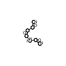 c1cnc2oc3ccc(-c4ccc5oc6ccc(-c7nccc(-c8ccc9oc%10ncccc%10c9c8)n7)cc6c5c4)cc3c2c1